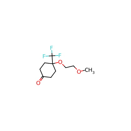 COCCOC1(C(F)(F)F)CCC(=O)CC1